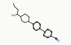 CCCC(O)C1CCC(c2ccc(-c3ccc(C#N)cc3)cc2)CC1